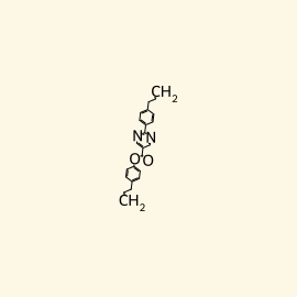 C=CCc1ccc(OC(=O)c2cnc(-c3ccc(CC=C)cc3)nc2)cc1